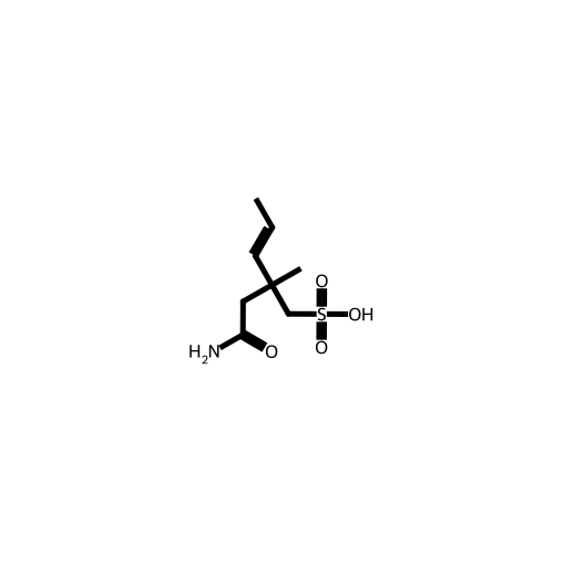 CC=CC(C)(CC(N)=O)CS(=O)(=O)O